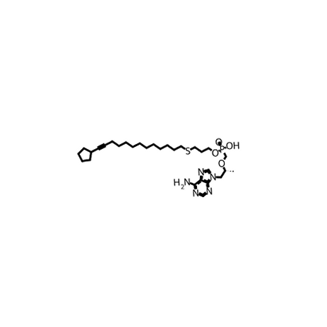 C[C@H](Cn1cnc2c(N)ncnc21)OCP(=O)(O)OCCCSCCCCCCCCCCCC#CC1CCCC1